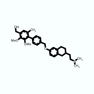 COc1c(CO)cc(C)c(-c2ccc(COc3ccc4c(c3)CCC(CCN(C)C)C4)cc2)c1OC